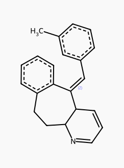 Cc1cccc(/C=C2\c3ccccc3CCC3N=CC=CC23)c1